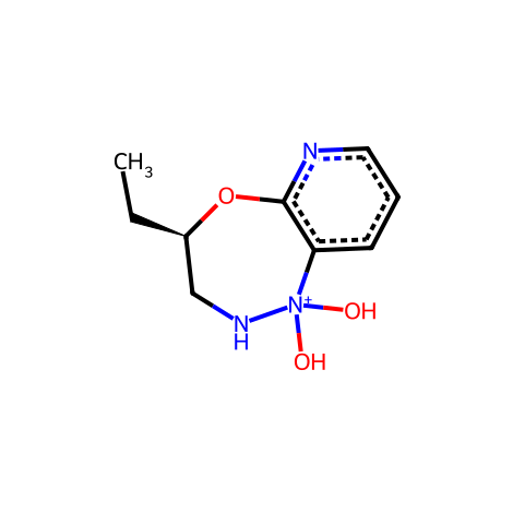 CC[C@@H]1CN[N+](O)(O)c2cccnc2O1